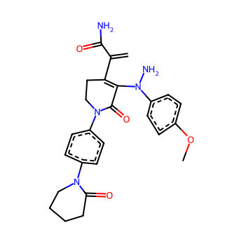 C=C(C(N)=O)C1=C(N(N)c2ccc(OC)cc2)C(=O)N(c2ccc(N3CCCCC3=O)cc2)CC1